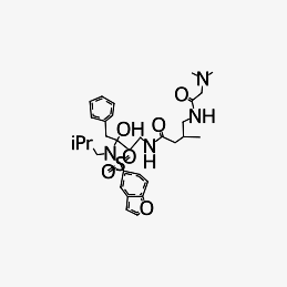 CC(C)CN(C(O)(CCNC(=O)CC(C)CNC(=O)CN(C)C)Cc1ccccc1)S(=O)(=O)c1ccc2occc2c1